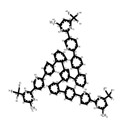 Cc1cc(C(F)(F)F)nc(-c2ccc(-c3ccc(-c4ccccc4-c4cc(-c5ccccc5-c5ccc(-c6ccc(-c7nc(C)cc(C(F)(F)F)n7)cn6)cc5)cc(-c5ccccc5-c5ccc(-c6ccc(-c7nc(C)cc(C(F)(F)F)n7)cn6)cc5)c4)cc3)nc2)n1